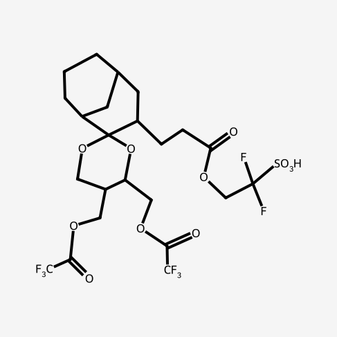 O=C(CCC1CC2CCCC(C2)C12OCC(COC(=O)C(F)(F)F)C(COC(=O)C(F)(F)F)O2)OCC(F)(F)S(=O)(=O)O